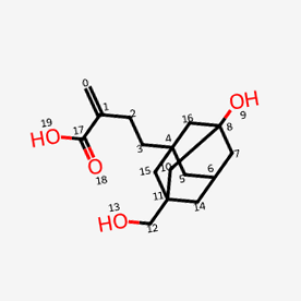 C=C(CCC12CC3CC(O)(CC(CO)(C3)C1)C2)C(=O)O